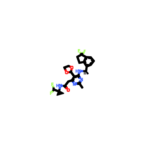 Cc1nc(CC(=O)NC2(C(F)F)CC2)c(C2OCCO2)c(N[C@H](C)c2cccc3c2CCC3(F)F)n1